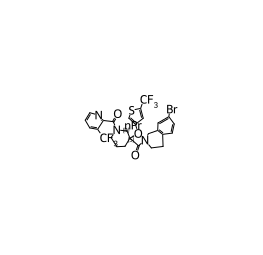 CCC[C@H]1N(C(=O)c2ncccc2C(F)(F)F)CCC[C@@]1(Oc1csc(C(F)(F)F)c1)C(=O)N1CCc2ccc(Br)cc2C1